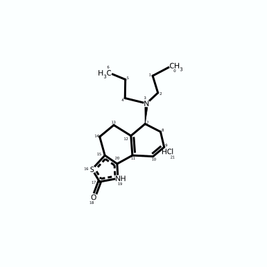 CCCN(CCC)[C@H]1CC=CC2=C1CCc1sc(=O)[nH]c12.Cl